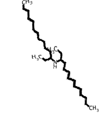 CCCCCCCCCCCC(CC)NC(CC)CCCCCCCCCCC